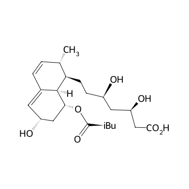 CC[C@H](C)C(=O)O[C@@H]1C[C@H](O)C=C2C=C[C@H](C)[C@@H](CC[C@@H](O)C[C@@H](O)CC(=O)O)[C@H]21